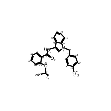 O=C(Nc1cn(Cc2ccc(C(F)(F)F)cc2)c2ccccc12)c1ccccc1OC(F)F